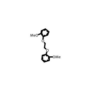 COc1ccccc1OCCOc1ccccc1OC